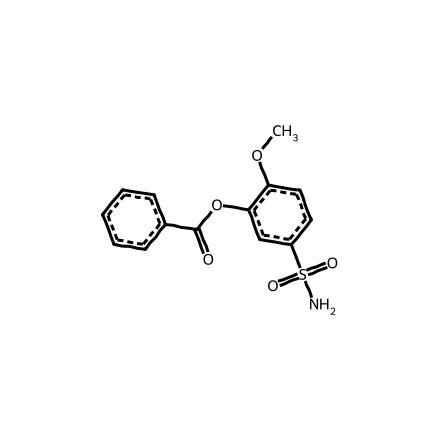 COc1ccc(S(N)(=O)=O)cc1OC(=O)c1ccccc1